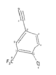 [C]#Cc1ccc(Cl)c(C(F)(F)F)c1